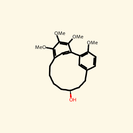 COc1ccc2cc1-c1cc(c(OC)c(OC)c1OC)CCCC[C@H](O)CC2